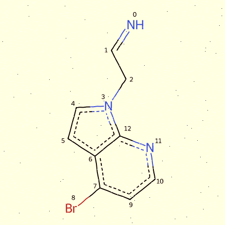 N=CCn1ccc2c(Br)ccnc21